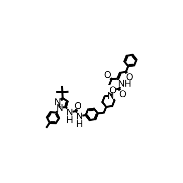 CC(=O)C(=CC(=O)c1ccccc1)NC(=O)ON1CCC(Cc2ccc(NC(=O)Nc3cc(C(C)(C)C)nn3-c3ccc(C)cc3)cc2)CC1